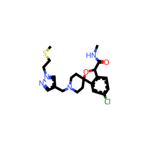 CNC(=O)C1OC2(CCN(Cc3cnn(CCSC)c3)CC2)c2cc(Cl)ccc21